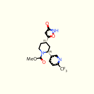 COC(=O)N1CC[C@H](c2cc(=O)[nH]o2)C[C@@H]1c1ccc(C(F)(F)F)nc1